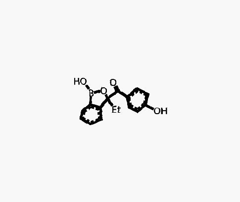 CCC1(C(=O)c2ccc(O)cc2)OB(O)c2ccccc21